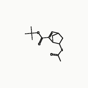 CC(=O)SC1CC2C=C(C(=O)OC(C)(C)C)C1C2